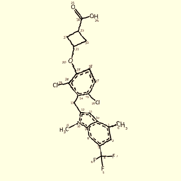 Cc1cc(C(F)(F)F)cc2c1cc(Cc1c(Cl)ccc(OC3CC(C(=O)O)C3)c1Cl)n2C